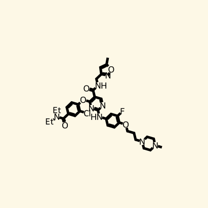 CCN(CC)C(=O)c1ccc(Oc2nc(Nc3ccc(OCCCN4CCN(C)CC4)c(F)c3)ncc2C(=O)NCc2cc(C)on2)c(Cl)c1